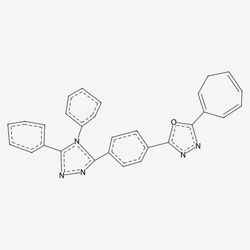 C1=CCC=C(c2nnc(-c3ccc(-c4nnc(-c5ccccc5)n4-c4ccccc4)cc3)o2)C=C1